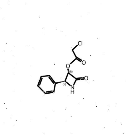 O=C(CCl)O[C@H]1C(=O)N[C@H]1c1ccccc1